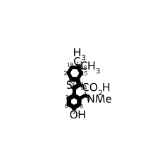 CNCc1cc(O)ccc1-c1sc2c(c1C(=O)O)CC(C)(C)CC2